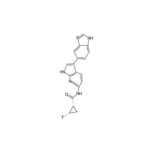 O=C(Nc1ccc2c(-c3ccc4[nH]cnc4c3)c[nH]c2n1)[C@@H]1C[C@@H]1F